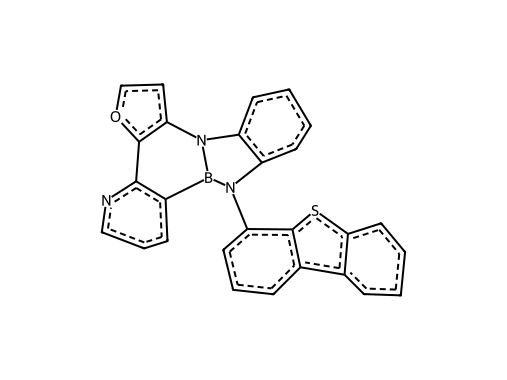 c1cnc2c(c1)B1N(c3ccccc3N1c1cccc3c1sc1ccccc13)c1ccoc1-2